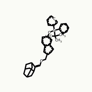 CC(C)(C)[Si](Oc1ccc2cc(COC=C3C4CC5CC(C4)CC3C5)ccc2c1)(c1ccccc1)c1ccccc1